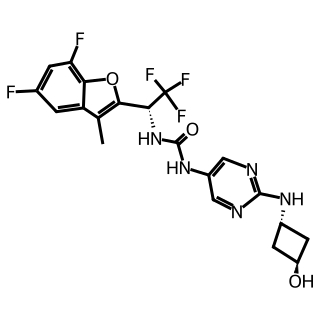 Cc1c([C@@H](NC(=O)Nc2cnc(N[C@H]3C[C@H](O)C3)nc2)C(F)(F)F)oc2c(F)cc(F)cc12